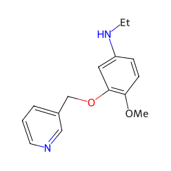 CCNc1ccc(OC)c(OCc2cccnc2)c1